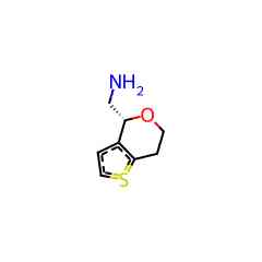 NC[C@@H]1OCCc2sccc21